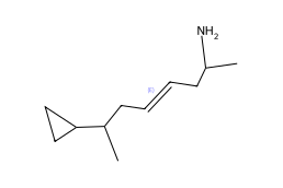 CC(N)C/C=C/CC(C)C1CC1